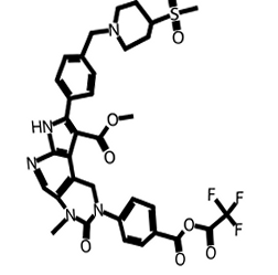 COC(=O)c1c(-c2ccc(CN3CCC(S(C)(=O)=O)CC3)cc2)[nH]c2ncc3c(c12)CN(c1ccc(C(=O)OC(=O)C(F)(F)F)cc1)C(=O)N3C